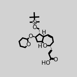 CC(C)(C)[Si](C)(C)OC[C@@H]1[C@H]2C=CC[C@H](C=CC(=O)O)O[C@H]2C[C@H]1OC1CCCCO1